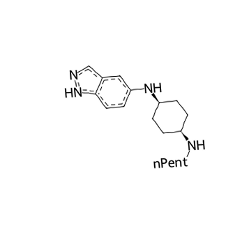 CCCCCN[C@H]1CC[C@@H](Nc2ccc3[nH]ncc3c2)CC1